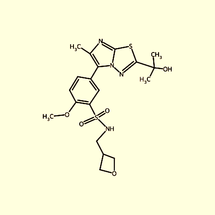 COc1ccc(-c2c(C)nc3sc(C(C)(C)O)nn23)cc1S(=O)(=O)NCC1COC1